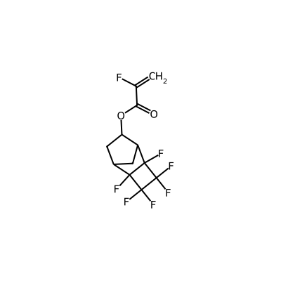 C=C(F)C(=O)OC1CC2CC1C1(F)C(F)(F)C(F)(F)C21F